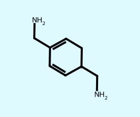 NC[C]1C=CC(CN)=CC1